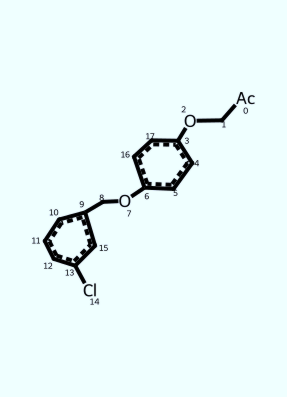 CC(=O)COc1ccc(OCc2cccc(Cl)c2)cc1